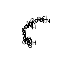 N#Cc1ccc(OC2CCC(NC(=O)c3cnc(N4CCC(CN5CC6CN(c7ccc8c(c7)C(=O)N(C7CCC(=O)NC7=O)C8=O)CC6C5)CC4)nc3)CC2)cc1Cl